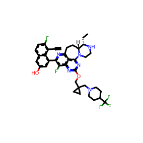 C#Cc1c(F)ccc2cc(O)cc(-c3nc4c5c(nc(OCC6(CN7CCC(C(F)(F)F)CC7)CC6)nc5c3F)N3CCN[C@@H](CC)[C@H]3CC4)c12